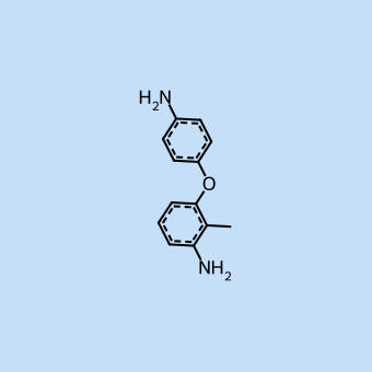 Cc1c(N)cccc1Oc1ccc(N)cc1